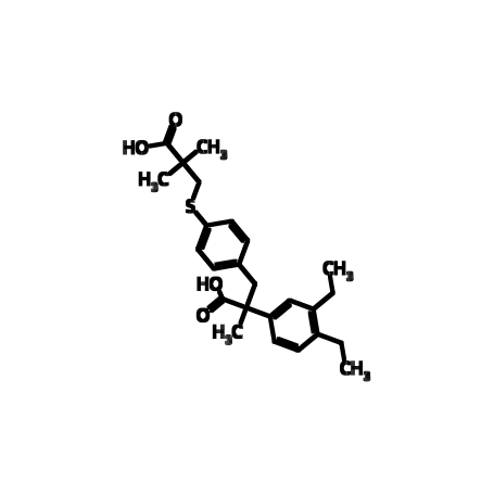 CCc1ccc(C(C)(Cc2ccc(SCC(C)(C)C(=O)O)cc2)C(=O)O)cc1CC